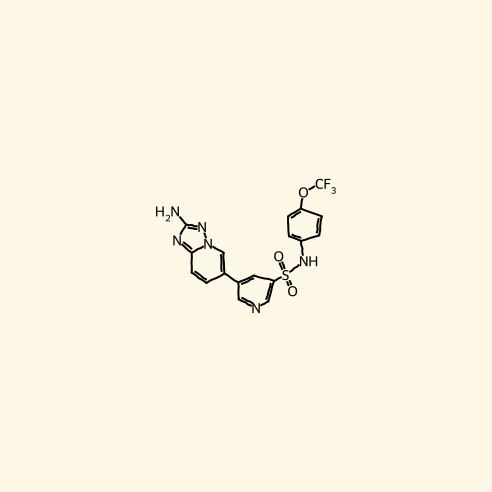 Nc1nc2ccc(-c3cncc(S(=O)(=O)Nc4ccc(OC(F)(F)F)cc4)c3)cn2n1